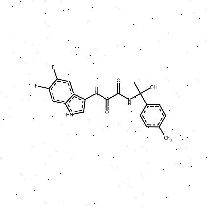 CC(O)(NC(=O)C(=O)Nc1c[nH]c2cc(F)c(F)cc12)c1ccc(C(F)(F)F)cc1